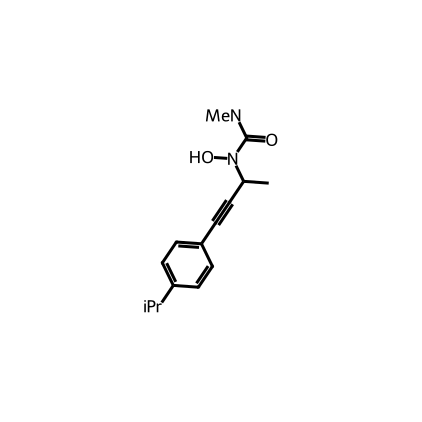 CNC(=O)N(O)C(C)C#Cc1ccc(C(C)C)cc1